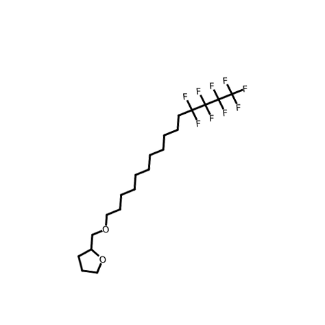 FC(F)(F)C(F)(F)C(F)(F)C(F)(F)CCCCCCCCCCCOCC1CCCO1